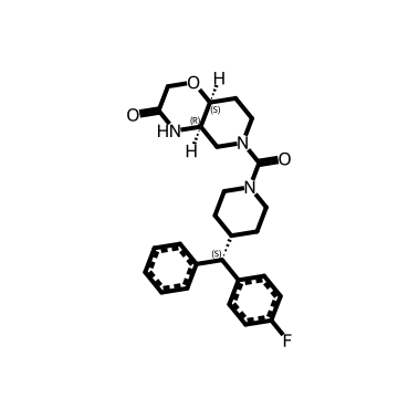 O=C1CO[C@H]2CCN(C(=O)N3CCC([C@@H](c4ccccc4)c4ccc(F)cc4)CC3)C[C@H]2N1